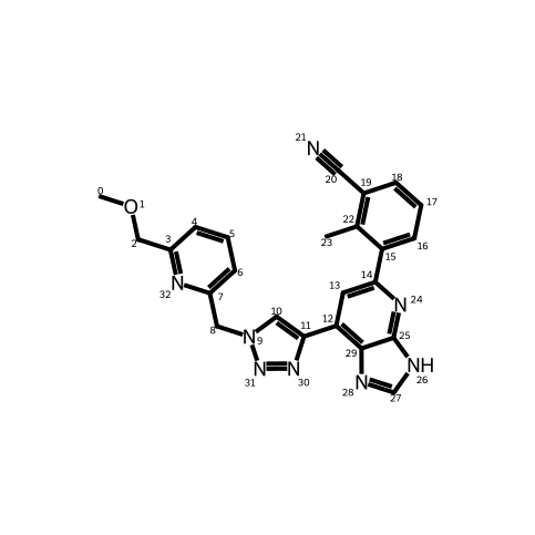 COCc1cccc(Cn2cc(-c3cc(-c4cccc(C#N)c4C)nc4[nH]cnc34)nn2)n1